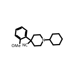 COc1ccccc1C1(C#N)CCN(C2CCCCC2)CC1